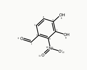 O=Cc1ccc(O)c(O)c1[N+](=O)[O-]